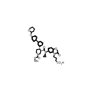 CC(C)(C)OC(=O)N1CC[C@H](c2cccc(-c3ccc(OC4CCCCO4)cc3)c2)[C@@H](C(=O)N(c2ccc3c(c2)N(CCCC(=O)O)C(=O)CO3)C2CC2)C1